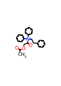 CC(=O)OCC(=O)[N+](CCc1ccccc1)(c1ccccc1)c1ccccc1